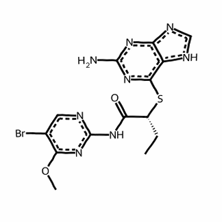 CC[C@@H](Sc1nc(N)nc2nc[nH]c12)C(=O)Nc1ncc(Br)c(OC)n1